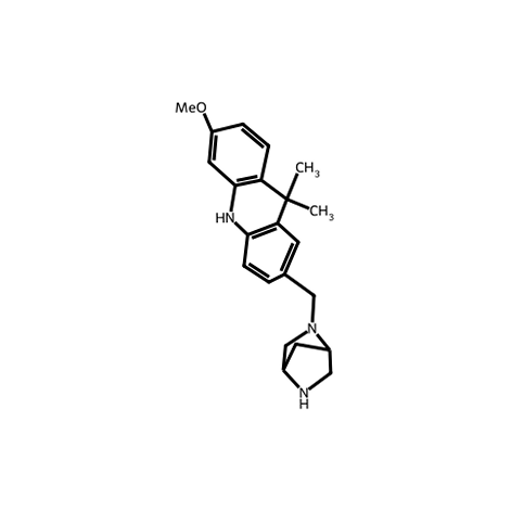 COc1ccc2c(c1)Nc1ccc(CN3CC4CC3CN4)cc1C2(C)C